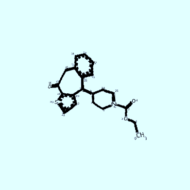 CCOC(=O)N1CCC(=C2c3ccccc3CC(=O)c3sccc32)CC1